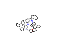 C1=C(N(c2ccc3c4ccccc4c4ccccc4c3c2)c2cccc3c4ccc5ccccc5c4n(-c4ccccc4)c23)C/C(=C\c2ccccc2)C2=C1C1(c3ccccc32)c2ccccc2-c2ccccc21